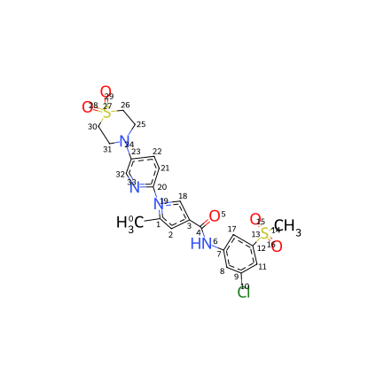 Cc1cc(C(=O)Nc2cc(Cl)cc(S(C)(=O)=O)c2)cn1-c1ccc(N2CCS(=O)(=O)CC2)cn1